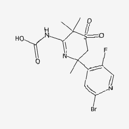 CC1(c2cc(Br)ncc2F)CS(=O)(=O)C(C)(C)C(NC(=O)O)=N1